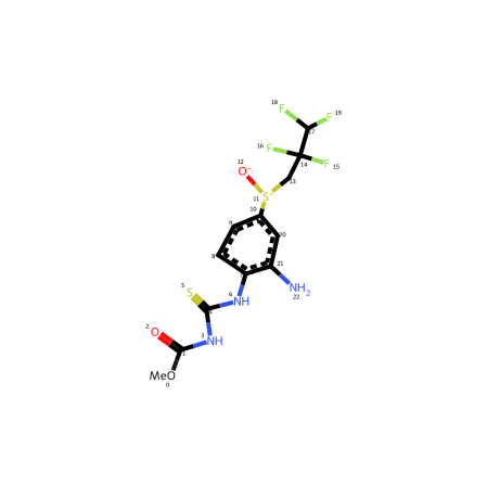 COC(=O)NC(=S)Nc1ccc([S+]([O-])CC(F)(F)C(F)F)cc1N